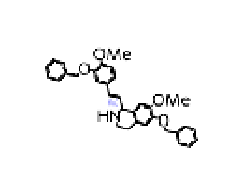 COc1ccc(/C=C/C2NCCc3cc(OCc4ccccc4)c(OC)cc32)cc1OCc1ccccc1